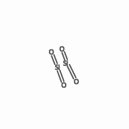 O=[Si]=O.O=[Si]=O